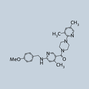 COc1ccc(CNc2cc(C)c(C(=O)N3CCN(c4ncc(C)cc4C)CC3)cn2)cc1